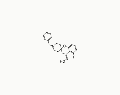 ON=C1CC2(CCN(Cc3ccccc3)CC2)Oc2cccc(F)c21